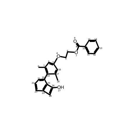 Cc1cc(OCCOC(=O)c2ccccc2)cc(C)c1-c1cccc2c1C(O)=C2